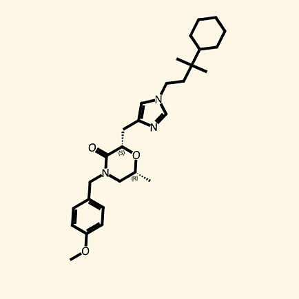 COc1ccc(CN2C[C@@H](C)O[C@@H](Cc3cn(CCC(C)(C)C4CCCCC4)cn3)C2=O)cc1